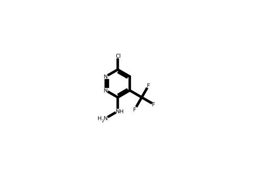 NNc1nnc(Cl)cc1C(F)(F)F